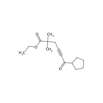 CCOC(=O)C(C)(C)CC#CC(=O)C1CCCC1